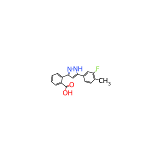 Cc1ccc(-c2cc(-c3ccccc3C(=O)O)n[nH]2)cc1F